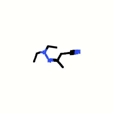 CCN(CC)N=C(C)CC#N